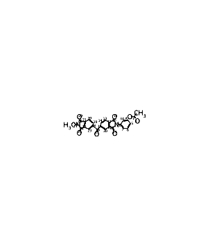 CC(=O)Oc1cccc(N2C(=O)c3ccc(C(=O)c4ccc5c(c4)C(=O)N(C)C5=O)cc3C2=O)c1